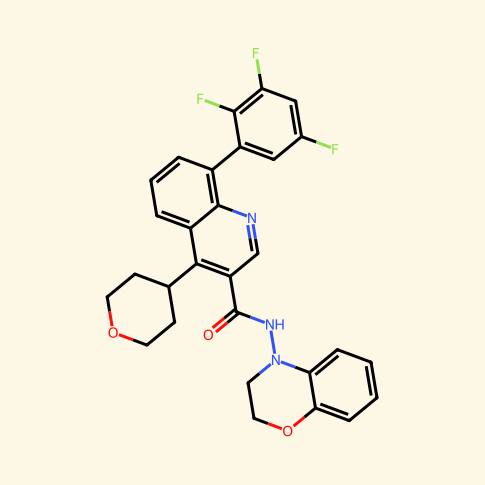 O=C(NN1CCOc2ccccc21)c1cnc2c(-c3cc(F)cc(F)c3F)cccc2c1C1CCOCC1